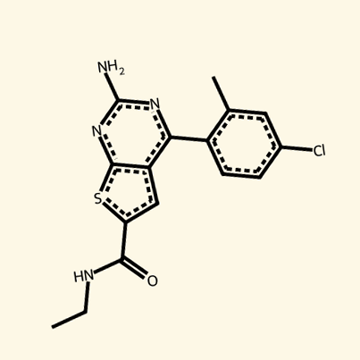 CCNC(=O)c1cc2c(-c3ccc(Cl)cc3C)nc(N)nc2s1